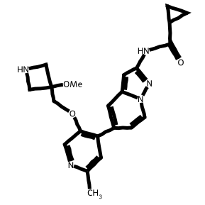 COC1(COc2cnc(C)cc2-c2ccn3nc(NC(=O)C4CC4)cc3c2)CNC1